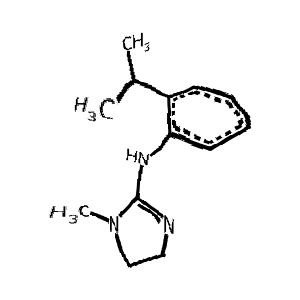 CC(C)c1ccccc1NC1=NCCN1C